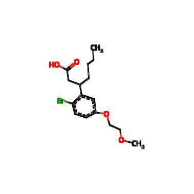 CCCCC(CC(=O)O)c1cc(OCCOC)ccc1Br